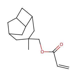 C=CC(=O)OCC1(C)CC2CC3CC(C1)C3C2